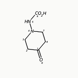 O=C1CCN(NC(=O)O)CC1